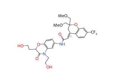 COCC1(COC)C/C(=C\C(=O)Nc2ccc3c(c2)N(CCO)C(=O)C(CCO)O3)c2ccc(C(F)(F)F)cc2O1